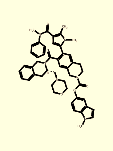 Cc1c(C(=O)N(C)c2ccccc2)cc(-c2cc3c(cc2C(=O)N2Cc4ccccc4C[C@H]2CN2CCOCC2)CN(C(=O)Oc2ccc4c(ccn4C)c2)CC3)n1C